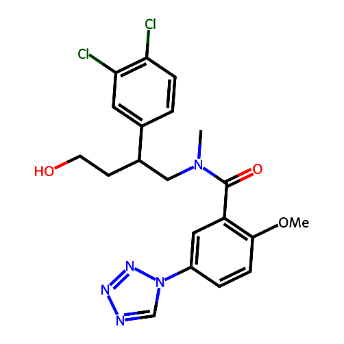 COc1ccc(-n2cnnn2)cc1C(=O)N(C)CC(CCO)c1ccc(Cl)c(Cl)c1